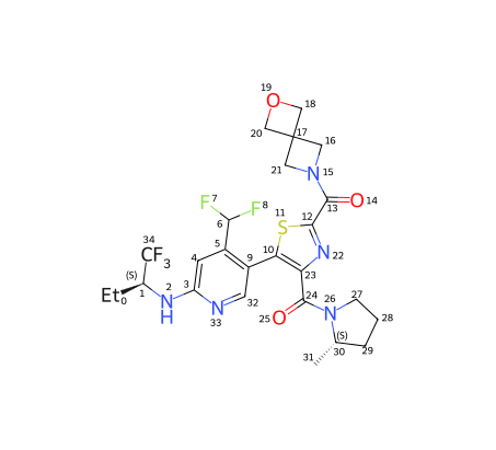 CC[C@H](Nc1cc(C(F)F)c(-c2sc(C(=O)N3CC4(COC4)C3)nc2C(=O)N2CCC[C@@H]2C)cn1)C(F)(F)F